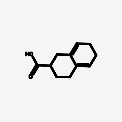 O=C(O)C1CCC2=CCCC=C2C1